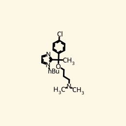 CCCCn1ccnc1C(C)(OCCCN(C)C)c1ccc(Cl)cc1